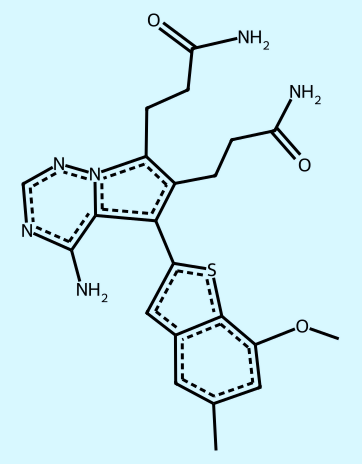 COc1cc(C)cc2cc(-c3c(CCC(N)=O)c(CCC(N)=O)n4ncnc(N)c34)sc12